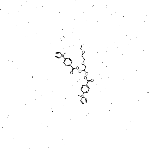 [CH2]COCCOC[C](OOC(=O)c1ccc([Si](C)(C=C)C=C)cc1)OOC(=O)c1ccc([Si](C)(C=C)C=C)cc1